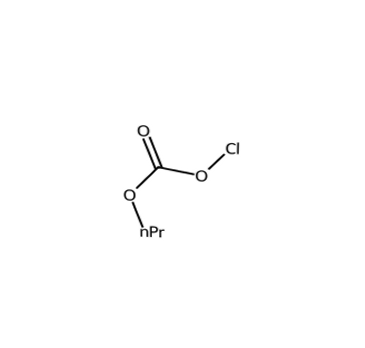 CCCOC(=O)OCl